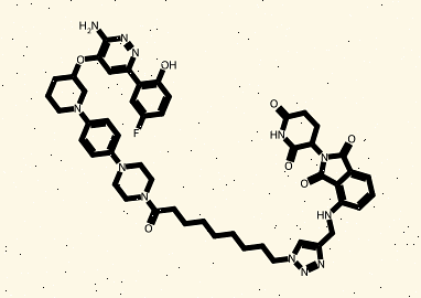 Nc1nnc(-c2cc(F)ccc2O)cc1OC1CCCN(c2ccc(N3CCN(C(=O)CCCCCCCCn4cc(CNc5cccc6c5C(=O)N(C5CCC(=O)NC5=O)C6=O)nn4)CC3)cc2)C1